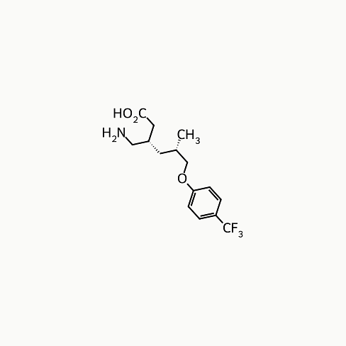 C[C@H](COc1ccc(C(F)(F)F)cc1)C[C@H](CN)CC(=O)O